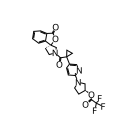 O=C1O[C@]2(CCN(C(=O)C3(c4ccc(N5CC[C@H](OC(=O)C(F)(F)F)C5)nc4)CC3)C2)c2ccccc21